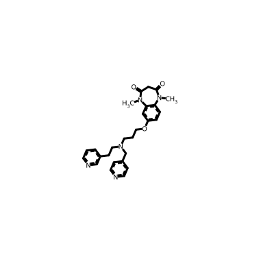 CN1C(=O)CC(=O)N(C)c2cc(OCCCN(CCc3cccnc3)Cc3ccncc3)ccc21